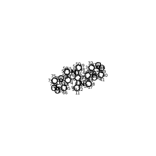 O=P1(c2ccc(-c3c4c5ccccc5n(-c5ccccc5)c4c(-c4ccc(P5(=O)c6ccccc6S(=O)(=O)c6ccccc65)cc4)c4c5ccccc5n(-c5ccccc5)c34)cc2)c2ccccc2S(=O)(=O)c2ccccc21